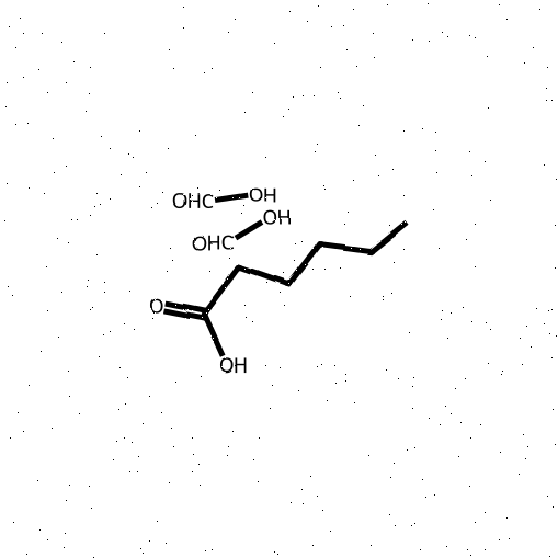 CCCCCC(=O)O.O=CO.O=CO